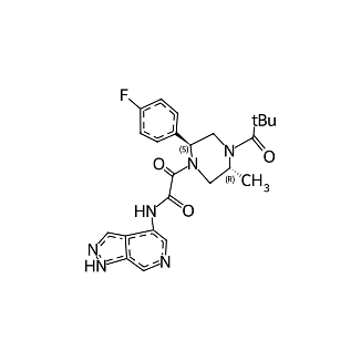 C[C@@H]1CN(C(=O)C(=O)Nc2cncc3[nH]ncc23)[C@@H](c2ccc(F)cc2)CN1C(=O)C(C)(C)C